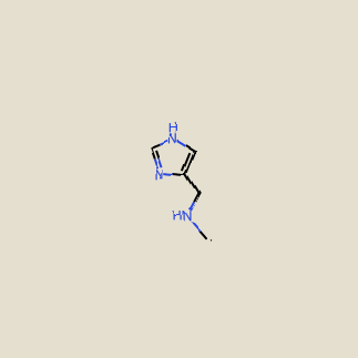 [CH2]NCc1c[nH]cn1